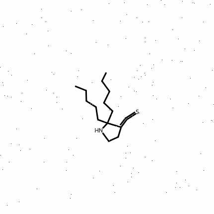 CCCCCC1(CCCCC)NCCC1=C=S